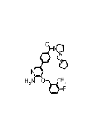 Nc1ncc(-c2ccc(C(=O)N3CCC[C@@H]3CN3CCCC3)cc2)cc1OCc1cccc(F)c1C(F)(F)F